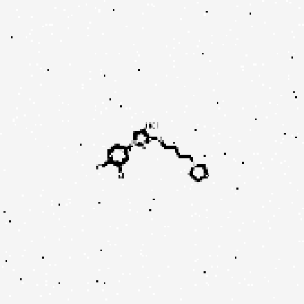 Cl.Clc1ccc(-n2ccc(OCCCCN3CCCC3)n2)cc1Cl